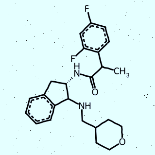 CC(C(=O)N[C@H]1Cc2ccccc2C1NCC1CCOCC1)c1ccc(F)cc1F